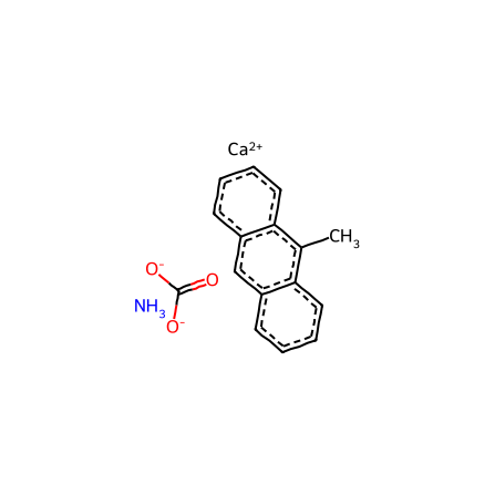 Cc1c2ccccc2cc2ccccc12.N.O=C([O-])[O-].[Ca+2]